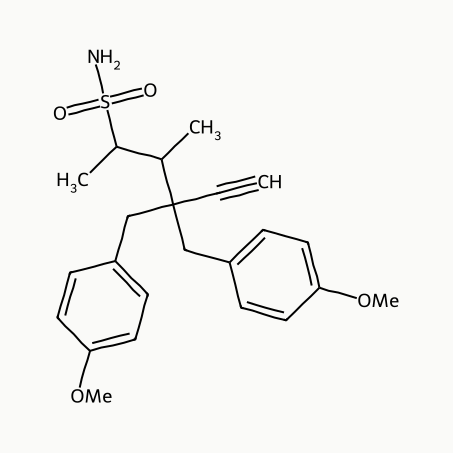 C#CC(Cc1ccc(OC)cc1)(Cc1ccc(OC)cc1)C(C)C(C)S(N)(=O)=O